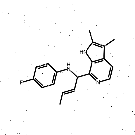 CC=CC(Nc1ccc(F)cc1)c1nccc2c(C)c(C)[nH]c12